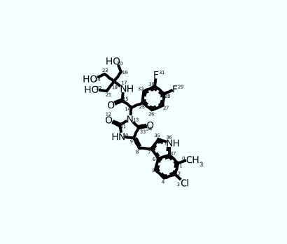 Cc1c(Cl)ccc2c(C=C3NC(=O)N(C(C(=O)NC(CO)(CO)CO)c4ccc(F)c(F)c4)C3=O)c[nH]c12